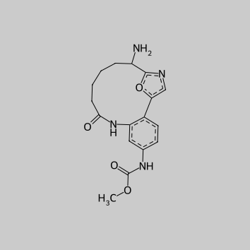 COC(=O)Nc1ccc2c(c1)NC(=O)CCCCC(N)c1ncc-2o1